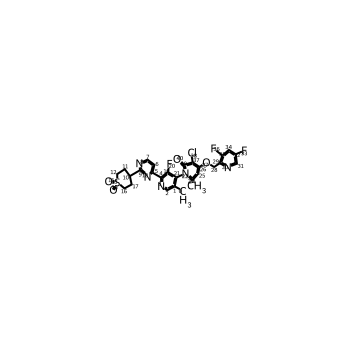 Cc1cnc(-c2ccnc(C3CCS(=O)(=O)CC3)n2)c(F)c1-n1c(C)cc(OCc2ncc(F)cc2F)c(Cl)c1=O